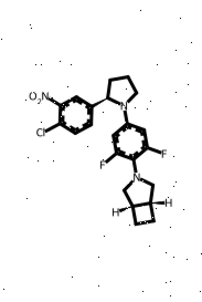 O=[N+]([O-])c1cc([C@H]2CCCN2c2cc(F)c(N3C[C@H]4CC[C@H]4C3)c(F)c2)ccc1Cl